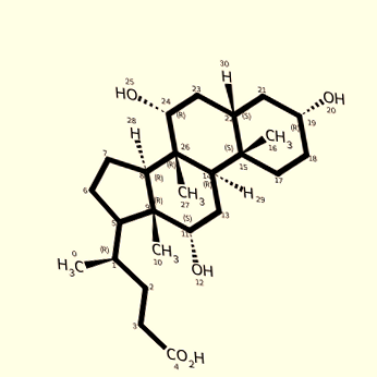 C[C@H](CCC(=O)O)C1CC[C@@H]2[C@]1(C)[C@@H](O)C[C@@H]1[C@@]3(C)CC[C@@H](O)C[C@H]3C[C@@H](O)[C@]12C